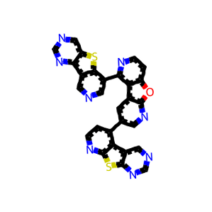 c1cc2oc3ncc(-c4ccnc5sc6ncncc6c45)cc3c2c(-c2cncc3c2sc2cncnc23)n1